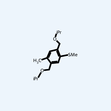 CSc1cc(COC(C)C)c(C)cc1COC(C)C